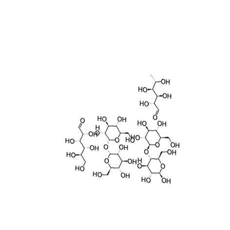 C[C@H](O)[C@H](O)[C@@H](O)[C@@H](O)C=O.O=C[C@H](O)[C@@H](O)[C@H](O)[C@H](O)CO.OC[C@H]1O[C@@H](O[C@H]2[C@H](O)[C@@H](O)[C@H](O)O[C@@H]2CO)[C@H](O)[C@@H](O)[C@@H]1O.OC[C@H]1O[C@H](O[C@H]2O[C@H](CO)[C@@H](O)[C@H](O)[C@H]2O)[C@H](O)[C@@H](O)[C@@H]1O